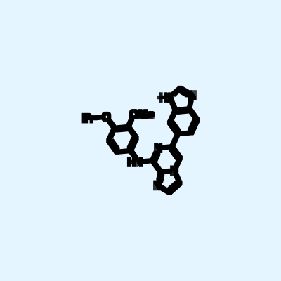 COc1cc(Nc2nc(-c3ccc4c(c3)[SH]C=N4)cn3ccnc23)ccc1OC(C)C